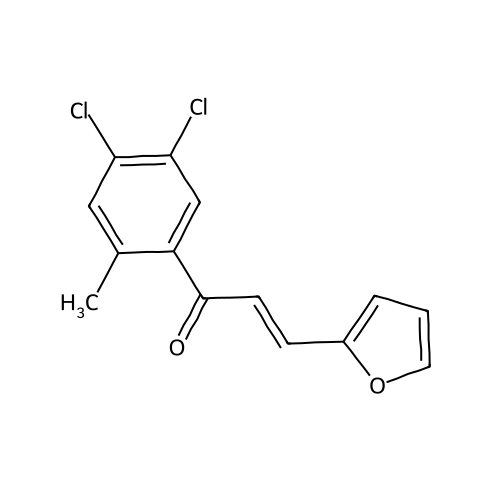 Cc1cc(Cl)c(Cl)cc1C(=O)C=Cc1ccco1